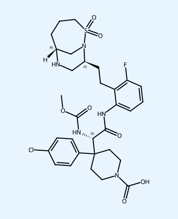 COC(=O)N[C@H](C(=O)Nc1cccc(F)c1CC[C@H]1CN[C@@H]2CCCS(=O)(=O)N1C2)C1(c2ccc(Cl)cc2)CCN(C(=O)O)CC1